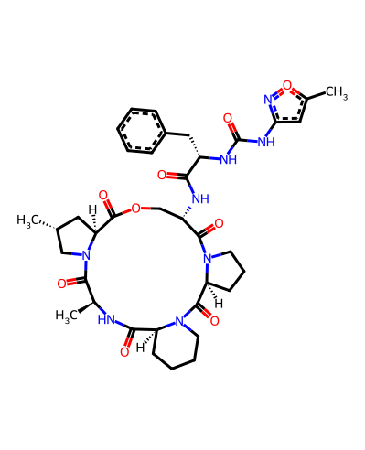 Cc1cc(NC(=O)N[C@@H](Cc2ccccc2)C(=O)N[C@H]2COC(=O)[C@@H]3C[C@@H](C)CN3C(=O)[C@H](C)NC(=O)[C@@H]3CCCCN3C(=O)[C@@H]3CCCN3C2=O)no1